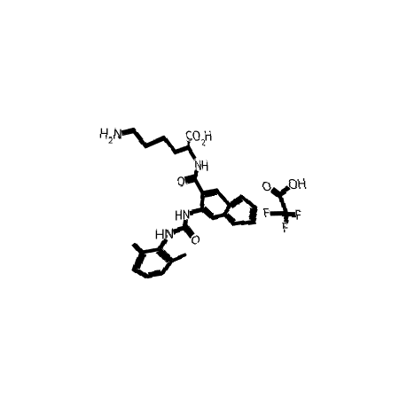 Cc1cccc(C)c1NC(=O)Nc1cc2ccccc2cc1C(=O)N[C@@H](CCCCN)C(=O)O.O=C(O)C(F)(F)F